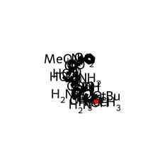 CO[C@H]1OC(CO)[C@H](OC2OC(CO)C(O[C@H]3OC(CO)[C@H](OC4OC(CO)C(O[Si](C)(C)C(C)(C)C)[C@H](O)[C@@H]4N)C(O)[C@H]3N)[C@H](O)[C@@H]2N)C(OC(=O)c2ccccc2)[C@H]1N